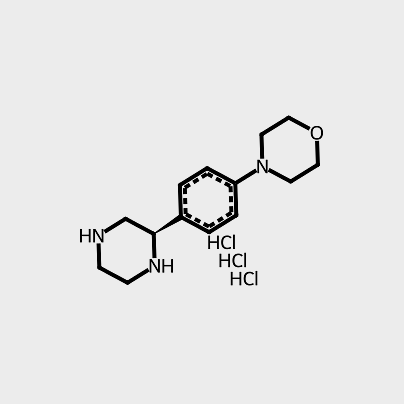 Cl.Cl.Cl.c1cc(N2CCOCC2)ccc1[C@@H]1CNCCN1